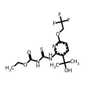 CCOC(=O)NC(=S)Nc1nc(OCC(F)(F)F)ccc1C(C)(C)O